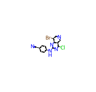 N#Cc1ccc(Nc2nc(Cl)c3cncc(Br)c3n2)cc1